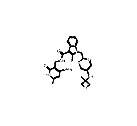 CSc1cc(C)[nH]c(=O)c1CNC(=O)c1c(C)n(CC2OCC(NC3(C)COC3)CO2)c2ccccc12